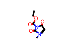 CCOC(=O)n1c(=O)ccn(C)c1=O